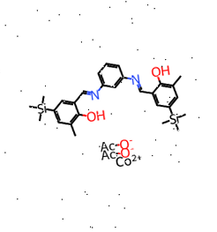 CC(=O)[O-].CC(=O)[O-].Cc1cc([Si](C)(C)C)cc(C=Nc2cccc(N=Cc3cc([Si](C)(C)C)cc(C)c3O)c2)c1O.[Co+2]